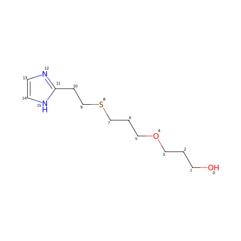 OCCCOCCCSCCc1ncc[nH]1